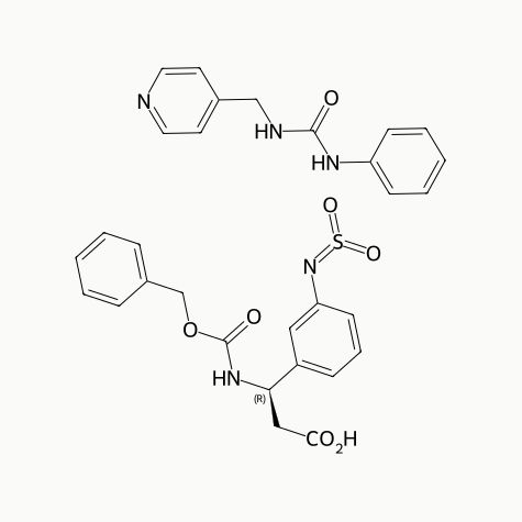 O=C(NCc1ccncc1)Nc1ccccc1.O=C(O)C[C@@H](NC(=O)OCc1ccccc1)c1cccc(N=S(=O)=O)c1